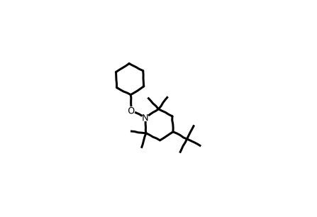 CC(C)(C)C1CC(C)(C)N(OC2CCCCC2)C(C)(C)C1